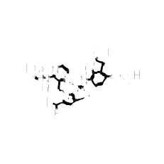 CCS(=O)(=O)Nc1nccnc1Cn1c(C(F)F)cc2cnc(Nc3ccc(C(=O)O)c4c3OC(C)C4)nc21